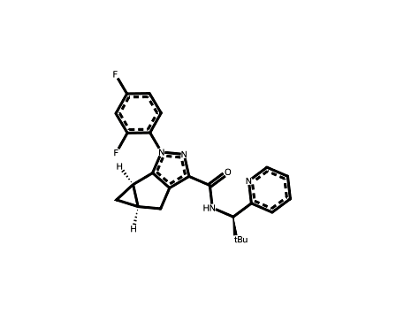 CC(C)(C)[C@@H](NC(=O)c1nn(-c2ccc(F)cc2F)c2c1C[C@H]1C[C@@H]21)c1ccccn1